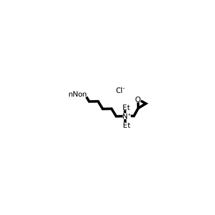 CCCCCCCCCCCCCC[N+](CC)(CC)CC1CO1.[Cl-]